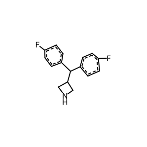 Fc1ccc(C(c2ccc(F)cc2)C2CNC2)cc1